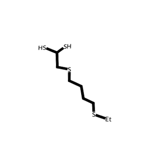 CCSCCCCSCC(S)S